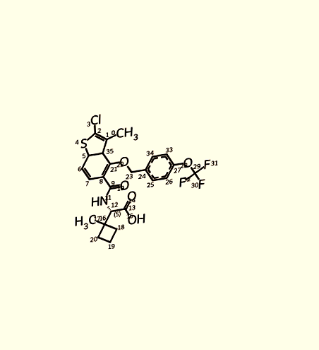 CC1=C(Cl)SC2C=CC(C(=O)N[C@H](C(=O)O)C3(C)CCC3)=C(OCc3ccc(OC(F)(F)F)cc3)C12